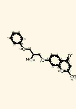 O=C(O)c1cc(=O)c2ccc(OCC(O)COc3ccccc3)cc2o1